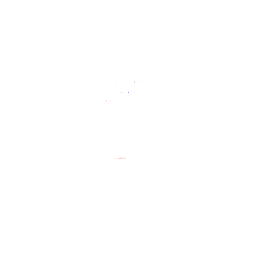 C[C@@H](I)C(=O)CCCCCN1C(=O)C=CC1=O